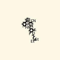 CCN(CC)CCCOc1c(F)cc(Nc2ncc(C#N)c(N3OCCC3c3ccccc3)n2)cc1F